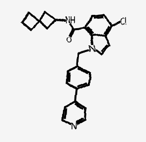 O=C(NC1CC2(CCC2)C1)c1ccc(Cl)c2ccn(Cc3ccc(-c4ccncc4)cc3)c12